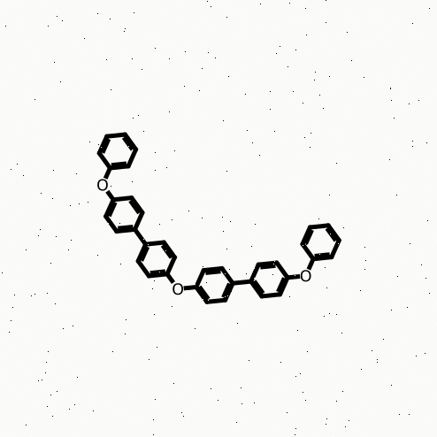 c1ccc(Oc2ccc(-c3ccc(Oc4ccc(-c5ccc(Oc6ccccc6)cc5)cc4)cc3)cc2)cc1